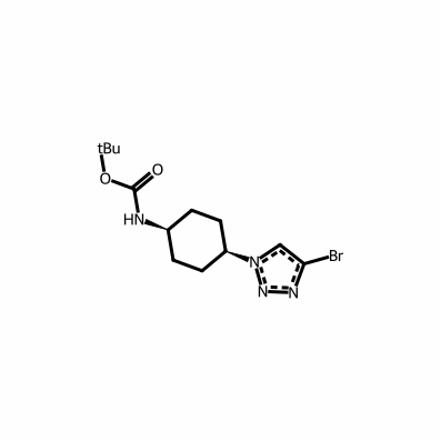 CC(C)(C)OC(=O)N[C@H]1CC[C@@H](n2cc(Br)nn2)CC1